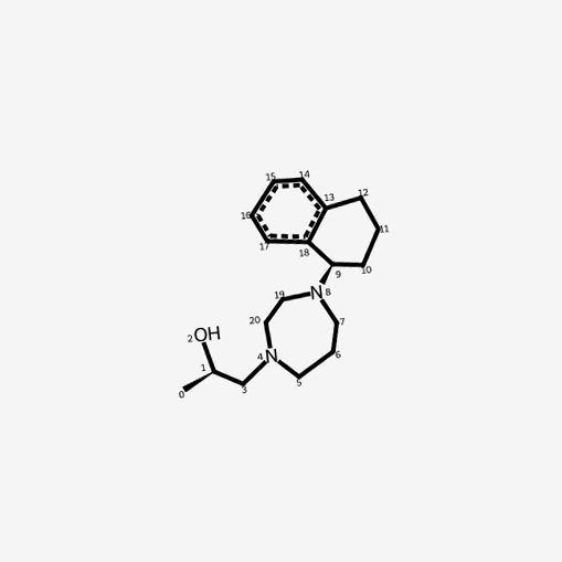 C[C@@H](O)CN1CCCN([C@@H]2CCCc3ccccc32)CC1